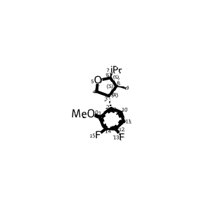 COc1c([C@@H]2CO[C@@H](C(C)C)[C@H]2C)ccc(F)c1F